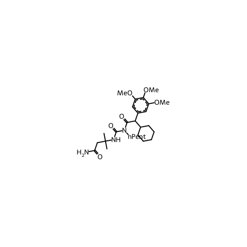 CCCCCN(C(=O)NC(C)(C)CC(N)=O)C(=O)C(c1cc(OC)c(OC)c(OC)c1)C1CCCCC1